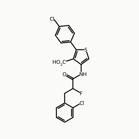 O=C(O)c1c(NC(=O)C(F)Cc2ccccc2Cl)csc1-c1ccc(Cl)cc1